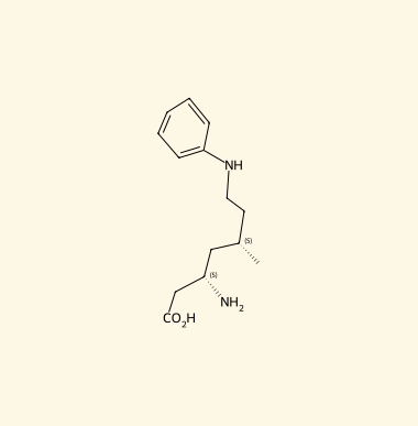 C[C@@H](CCNc1ccccc1)C[C@H](N)CC(=O)O